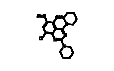 COc1cc(Cl)c2nc(N3CCCCC3)nc(N3CCCCC3)c2c1OC